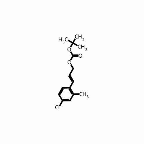 Cc1cc(Cl)ccc1/C=C/COC(=O)OC(C)(C)C